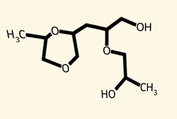 CC(O)COC(CO)CC1COCC(C)O1